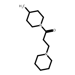 CC1CCN(C(=O)CCN2CCCCC2)CC1